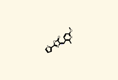 COc1ccc(/C=C2/N=C(c3cccs3)OC2=O)c(C)n1